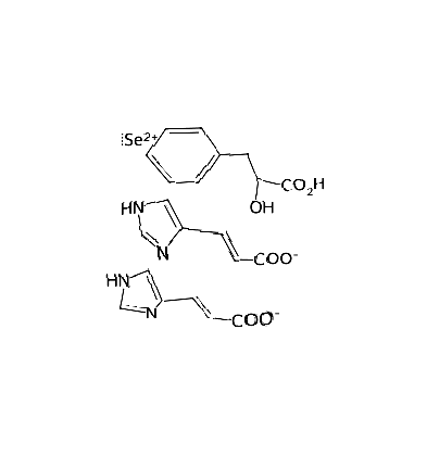 O=C(O)C(O)Cc1ccccc1.O=C([O-])C=Cc1c[nH]cn1.O=C([O-])C=Cc1c[nH]cn1.[Se+2]